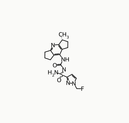 C[C@@H]1CCc2c1nc1c(c2NC(=O)N=S(N)(=O)c2ccn(CF)n2)CCC1